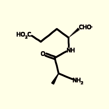 C[C@H](N)C(=O)N[C@@H]([C]=O)CCC(=O)O